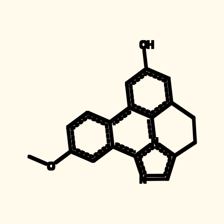 COc1ccc2c(c1)c1ncc3n1c1c(cc(O)cc21)CC3